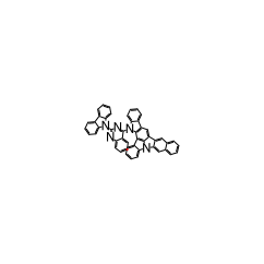 c1ccc2cc3c(cc2c1)c1cc2c4ccccc4n(-c4nc(-n5c6ccccc6c6ccccc65)nc5ccccc45)c2c2c4ccccc4n3c12